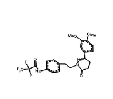 COc1ccc(C2=NN(CCc3ccc(NC(=O)C(F)(F)C(F)(F)F)cc3)C(=O)CC2)cc1OC